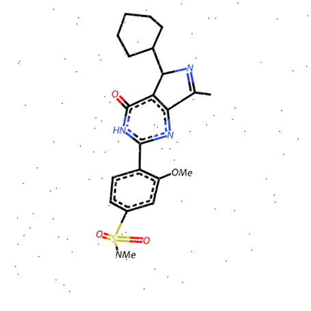 CNS(=O)(=O)c1ccc(-c2nc3c(c(=O)[nH]2)C(C2CCCCC2)N=C3C)c(OC)c1